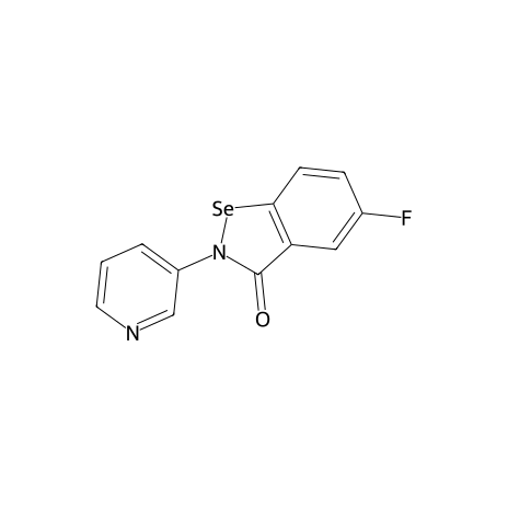 O=c1c2cc(F)ccc2[se]n1-c1cccnc1